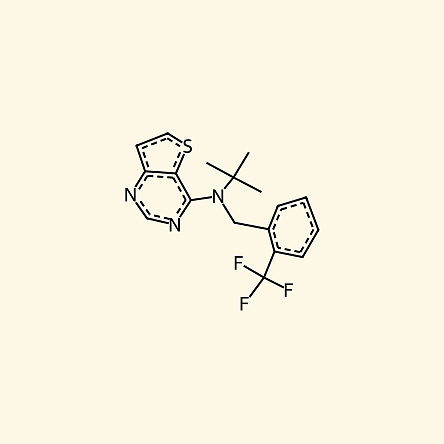 CC(C)(C)N(Cc1ccccc1C(F)(F)F)c1ncnc2ccsc12